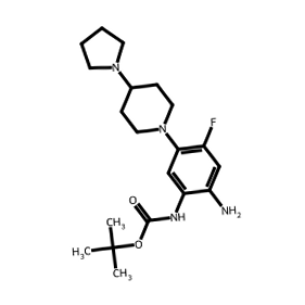 CC(C)(C)OC(=O)Nc1cc(N2CCC(N3CCCC3)CC2)c(F)cc1N